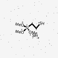 CO[Si](CCS)(OC)OC.[SiH4]